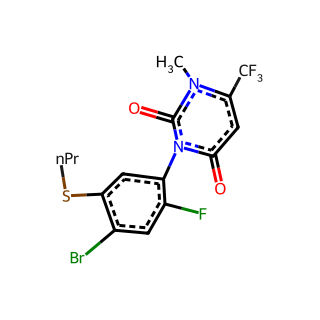 CCCSc1cc(-n2c(=O)cc(C(F)(F)F)n(C)c2=O)c(F)cc1Br